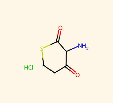 Cl.NC1C(=O)CCSC1=O